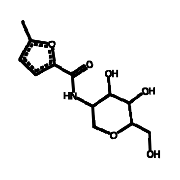 Cc1ccc(C(=O)NC2COC(CO)C(O)C2O)o1